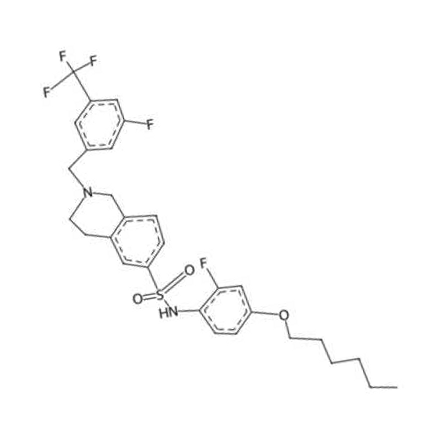 CCCCCCOc1ccc(NS(=O)(=O)c2ccc3c(c2)CCN(Cc2cc(F)cc(C(F)(F)F)c2)C3)c(F)c1